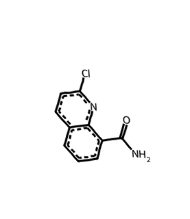 NC(=O)c1cccc2ccc(Cl)nc12